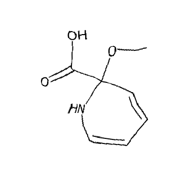 COC1(C(=O)O)C=CC=CN1